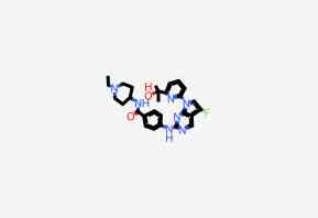 CCN1CCC(NC(=O)c2ccc(Nc3ncc4c(F)cn(-c5cccc(C(C)(C)O)n5)c4n3)cc2)CC1